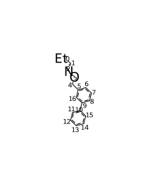 CCC=NOCc1cccc(-c2ccccc2)c1